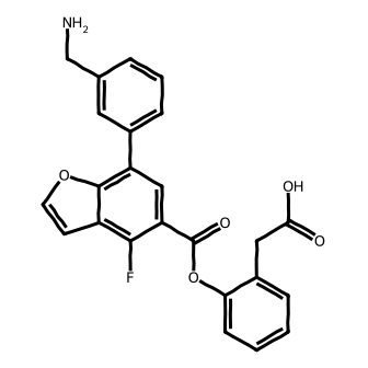 NCc1cccc(-c2cc(C(=O)Oc3ccccc3CC(=O)O)c(F)c3ccoc23)c1